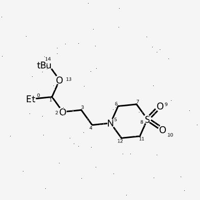 CCC(OCCN1CCS(=O)(=O)CC1)OC(C)(C)C